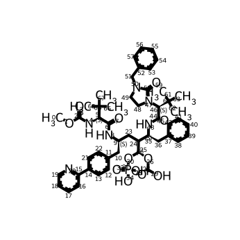 COC(=O)N[C@H](C(=O)N[C@H](Cc1ccc(-c2ccccn2)cc1)CC([C@@H](OC(=O)O)OP(=O)(O)O)[C@H](Cc1ccccc1)NC(=O)[C@@H](N1CCN(Cc2ccccc2)C1=O)C(C)(C)C)C(C)(C)C